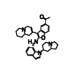 CC(=O)c1ccc2oc(N)c(C3=CCN4CCCCC4C3)c2c1.c1ccc2c(c1)ccn2C1CCN2CCCC2C1